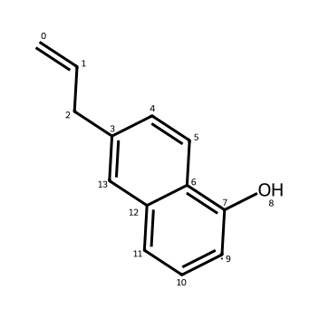 C=CCc1ccc2c(O)[c]ccc2c1